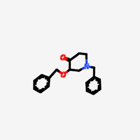 O=C1CCN(Cc2ccccc2)CC1OCc1ccccc1